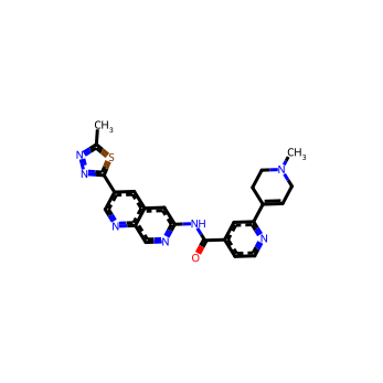 Cc1nnc(-c2cnc3cnc(NC(=O)c4ccnc(C5=CCN(C)CC5)c4)cc3c2)s1